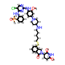 COc1cc(N2CCC(NCCCCCSc3cccc4c3CN(C3CCC(=O)NC3=O)C4=O)CC2)ccc1Nc1ncc(Cl)c(Nc2ccccc2P(C)(C)=O)n1